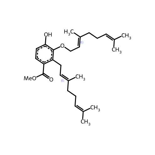 COC(=O)c1ccc(O)c(OC/C=C(\C)CCC=C(C)C)c1C/C=C(\C)CCC=C(C)C